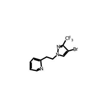 FC(F)(F)c1nn(CCc2ccccn2)cc1Br